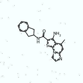 Cc1cc2nccn2c2sc(C(=O)NC3Cc4ccccc4C3)c(N)c12